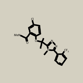 CNC(=O)c1cc(Cl)ccc1OC(C)(C)c1nnc(-c2ccccc2C(F)(F)F)n1C